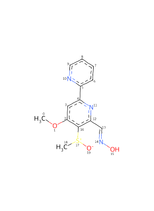 COc1cc(-c2ccccn2)nc(/C=N/O)c1[S+](C)[O-]